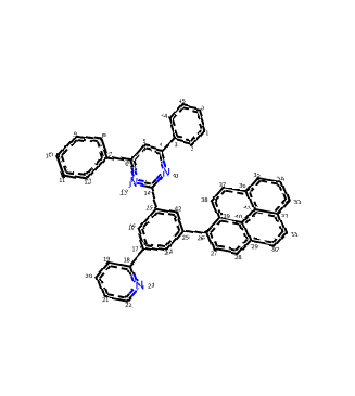 c1ccc(-c2cc(-c3ccccc3)nc(-c3cc(-c4ccccn4)cc(-c4ccc5ccc6cccc7ccc4c5c67)c3)n2)cc1